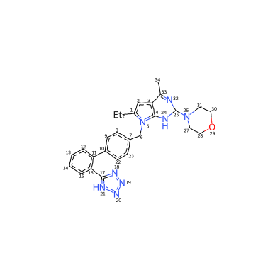 CCc1cc2c(n1Cc1ccc(-c3ccccc3-c3nnn[nH]3)cc1)NC(N1CCOCC1)N=C2C